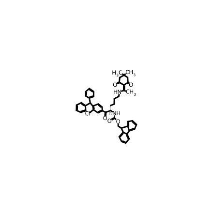 CC(NCCCC[C@H](NC(=O)OCC1c2ccccc2-c2ccccc21)C(=O)c1ccc([C](c2ccccc2)c2ccccc2)c(Cl)c1)=C1C(=O)CC(C)(C)CC1=O